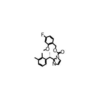 COc1cc(F)ccc1COC(=O)n1ccnc1[C@@H](C)c1cccc(C)c1C